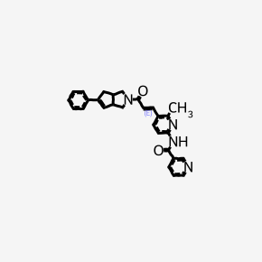 Cc1nc(NC(=O)c2cccnc2)ccc1/C=C/C(=O)N1CC2C=C(c3ccccc3)CC2C1